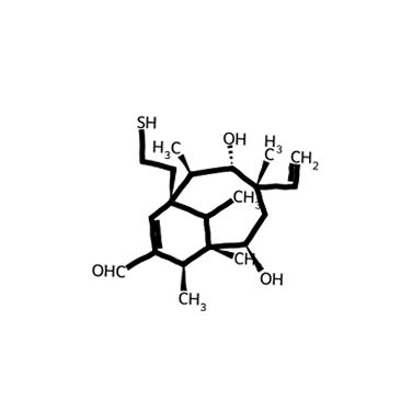 C=C[C@]1(C)C[C@@H](O)[C@@]2(C)C(C)[C@](CCS)(C=C(C=O)[C@@H]2C)[C@@H](C)[C@@H]1O